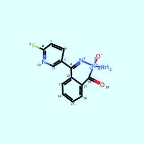 N[N+]1([O-])N=C(c2ccc(F)nc2)c2ccccc2C1=O